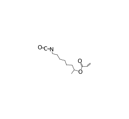 C=CC(=O)OC(C)CCCCCCN=C=O